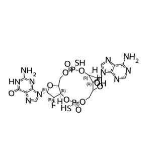 Nc1nc2c(ncn2[C@@H]2OC3CO[P@@](=O)(S)O[C@@H]4[C@H](O)C(CO[P@@](=O)(S)O[C@H]3[C@H]2F)O[C@H]4n2cnc3c(N)ncnc32)c(=O)[nH]1